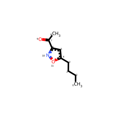 CCCCc1cc(C(C)=O)no1